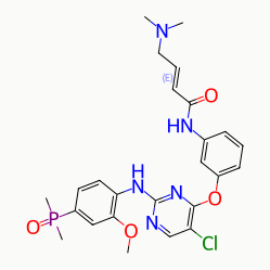 COc1cc(P(C)(C)=O)ccc1Nc1ncc(Cl)c(Oc2cccc(NC(=O)/C=C/CN(C)C)c2)n1